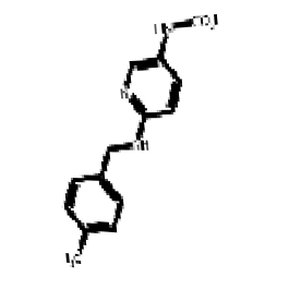 Cc1ccc(CNc2ccc(NC(=O)O)cn2)cc1